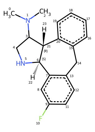 CN(C)C1CN[C@@H]2c3cc(F)ccc3Cc3ccccc3[C@@H]12